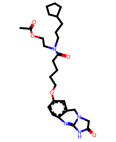 CC(=O)OCCN(CCCC1CCCC1)C(=O)CCCCOc1ccc2c(c1)CN1CC(=O)NC1=N2